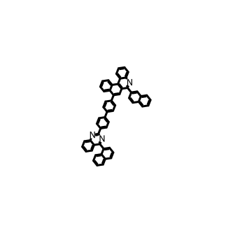 c1ccc2cc(-c3nc4ccccc4c4c3cc(-c3ccc(-c5ccc(-c6nc(-c7cccc8ccccc78)c7ccccc7n6)cc5)cc3)c3ccccc34)ccc2c1